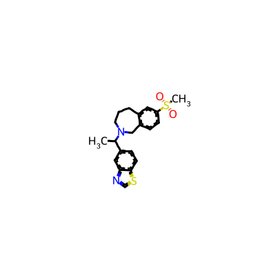 CC(c1ccc2scnc2c1)N1CCCc2cc(S(C)(=O)=O)ccc2C1